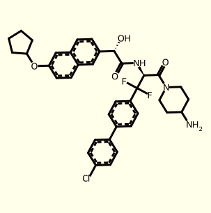 NC1CCN(C(=O)[C@H](NC(=O)[C@@H](O)c2ccc3cc(OC4CCCC4)ccc3c2)C(F)(F)c2ccc(-c3ccc(Cl)cc3)cc2)CC1